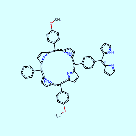 COc1ccc(-c2c3nc(c(-c4ccc(/C(=C5\C=CC=N5)c5ccc[nH]5)cc4)c4ccc([nH]4)c(-c4ccc(OC)cc4)c4nc(c(-c5ccccc5)c5ccc2[nH]5)C=C4)C=C3)cc1